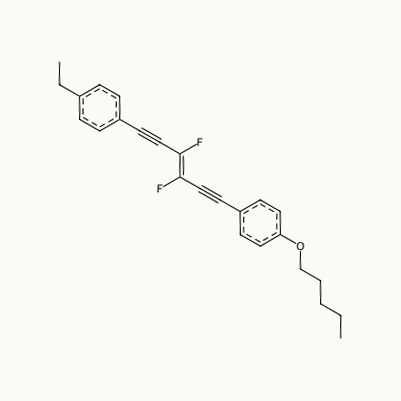 CCCCCOc1ccc(C#C/C(F)=C(\F)C#Cc2ccc(CC)cc2)cc1